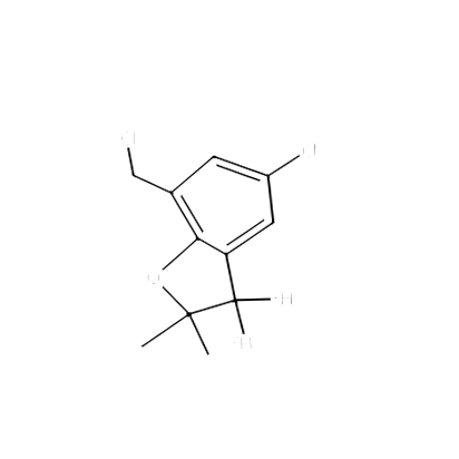 [2H]C1([2H])c2cc(Cl)cc(CCl)c2OC1(C)C